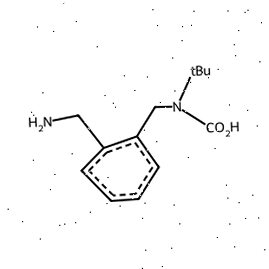 CC(C)(C)N(Cc1ccccc1CN)C(=O)O